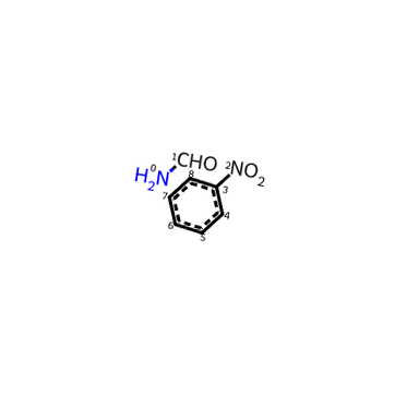 NC=O.O=[N+]([O-])c1ccccc1